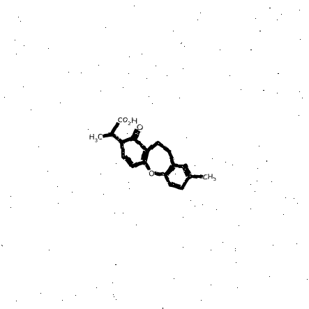 Cc1ccc2c(c1)CCC1=C(C=CC(C(C)C(=O)O)C1=O)O2